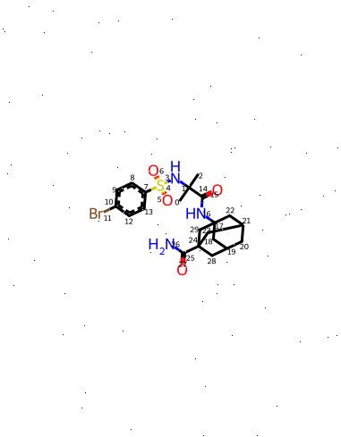 CC(C)(NS(=O)(=O)c1ccc(Br)cc1)C(=O)NC12CC3CC(C1)CC(C(N)=O)(C3)C2